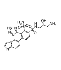 NC[C@H](O)CNS(=O)(=O)c1ccc(-c2ccc3nccn3c2)c(-c2nn[nH]n2)c1S(N)(=O)=O